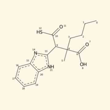 CCCCC(C)(C(=O)O)C(C(=O)S)c1nc2ccccc2[nH]1